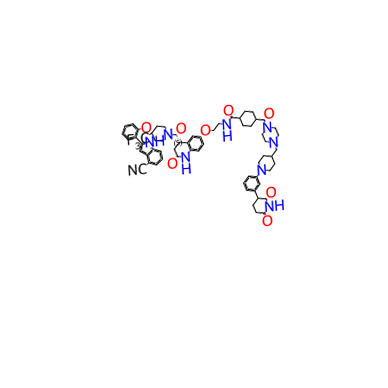 N#Cc1cccc2[nH]c(-c3ccccc3OC3(C(F)(F)F)CCN(C(=O)[C@H]4CC(=O)Nc5ccc(OCCNC(=O)C6CCC(C(=O)N7CCN(CC8CCN(c9cccc(C%10CCC(=O)NC%10=O)c9)CC8)CC7)CC6)cc54)CC3)cc12